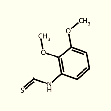 COc1cccc(N[C]=S)c1OC